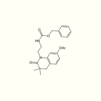 CC(=O)Oc1ccc2c(c1)N(CCNC(=O)OCc1ccccc1)C(=O)C(C)(C)C2